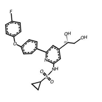 O=S(=O)(Nc1cc([C@H](O)CO)cc(-c2ccc(Oc3ccc(F)cc3)cc2)n1)C1CC1